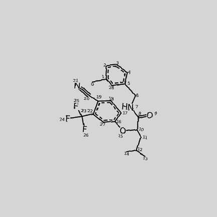 Cc1cccc(CNC(=O)C(CC(C)C)Oc2ccc(C#N)c(C(F)(F)F)c2)c1